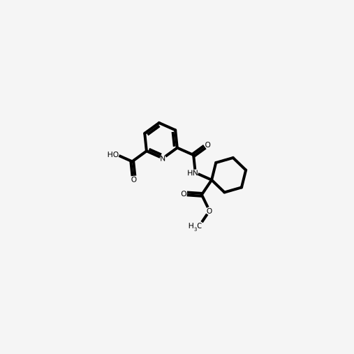 COC(=O)C1(NC(=O)c2cccc(C(=O)O)n2)CCCCC1